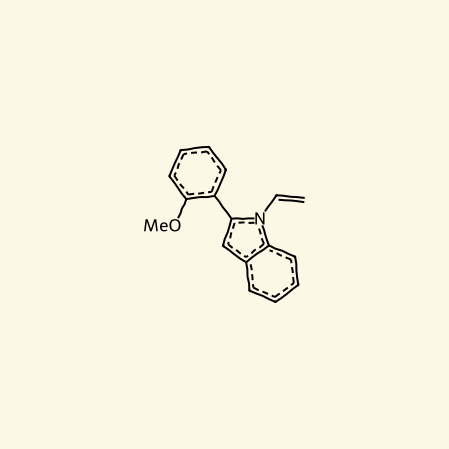 C=Cn1c(-c2ccccc2OC)cc2ccccc21